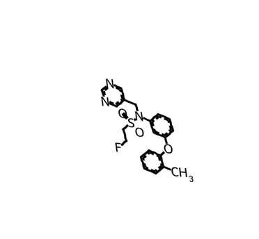 Cc1ccccc1Oc1cccc(N(Cc2cncnc2)S(=O)(=O)CCF)c1